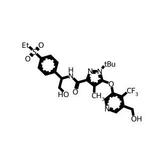 CCS(=O)(=O)c1ccc(C(CO)NC(=O)c2nn(C(C)(C)C)c(Oc3cncc(CO)c3C(F)(F)F)c2C)cc1